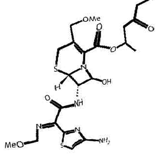 COC/N=C(/C(=O)N[C@H]1C(O)N2C(C(=O)OC(C)CC(=O)CC(C)C)=C(COC)CS[C@@H]12)c1nc(N)cs1